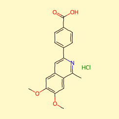 COc1cc2cc(-c3ccc(C(=O)O)cc3)nc(C)c2cc1OC.Cl